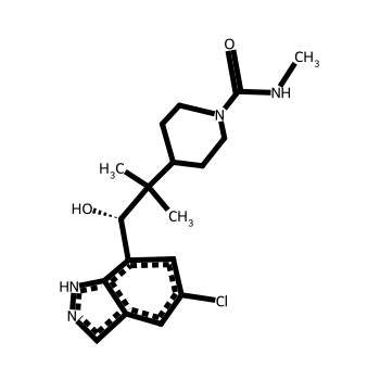 CNC(=O)N1CCC(C(C)(C)[C@@H](O)c2cc(Cl)cc3cn[nH]c23)CC1